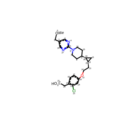 COCc1cnc(N2CCC([C@H]3C[C@H]3CCOc3ccc(CC(=O)O)c(Cl)c3)CC2)nc1